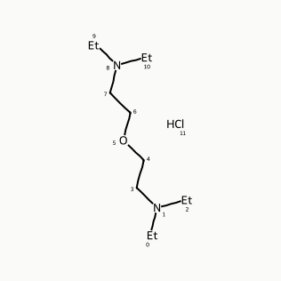 CCN(CC)CCOCCN(CC)CC.Cl